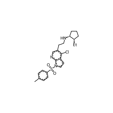 CC[C@@H]1CCC[C@@H]1NCCc1cnc2c(ccn2S(=O)(=O)c2ccc(C)cc2)c1Cl